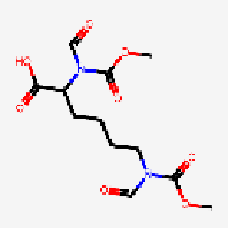 COC(=O)N(C=O)CCCCC(C(=O)O)N(C=O)C(=O)OC